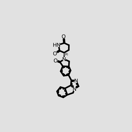 O=C1CC[C@@H](N2Cc3cc(-c4ncn5c4-c4ccccc4C5)ccc3C2=O)C(=O)N1